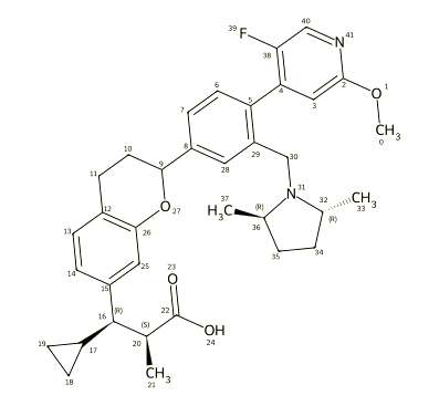 COc1cc(-c2ccc(C3CCc4ccc([C@H](C5CC5)[C@H](C)C(=O)O)cc4O3)cc2CN2[C@H](C)CC[C@H]2C)c(F)cn1